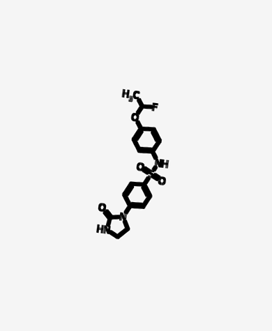 CC(F)Oc1ccc(NS(=O)(=O)c2ccc(N3CCNC3=O)cc2)cc1